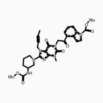 CC#CCn1c(N2CCCC(NC(=O)OC(C)(C)C)C2)nc2c1c(=O)n(CC(=O)c1cccc3c1ccn3C(=O)OC(C)(C)C)c(=O)n2C